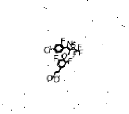 COC(=O)CCc1cc(F)c(OCc2c(-c3ccc(Cl)cc3F)nsc2C(F)(F)F)c(F)c1